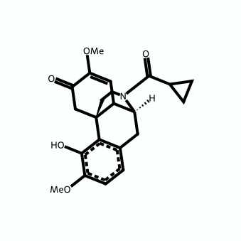 COC1=CC2[C@@H]3Cc4ccc(OC)c(O)c4[C@]2(CCN3C(=O)C2CC2)CC1=O